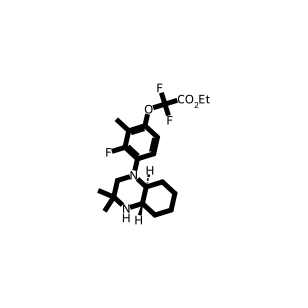 CCOC(=O)C(F)(F)Oc1ccc(N2CC(C)(C)N[C@H]3CCCC[C@@H]32)c(F)c1C